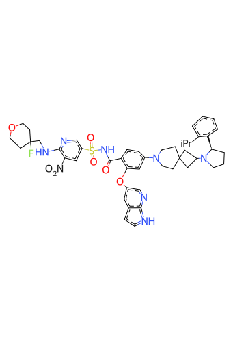 CC(C)c1ccccc1[C@H]1CCCN1C1CC2(CCN(c3ccc(C(=O)NS(=O)(=O)c4cnc(NCC5(F)CCOCC5)c([N+](=O)[O-])c4)c(Oc4cnc5[nH]ccc5c4)c3)CC2)C1